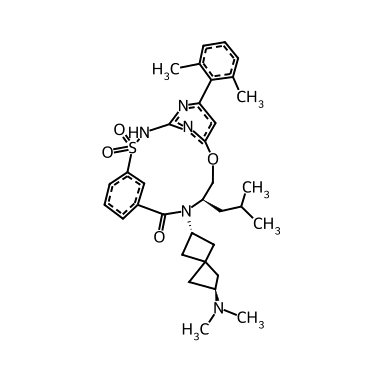 Cc1cccc(C)c1-c1cc2nc(n1)NS(=O)(=O)c1cccc(c1)C(=O)N([C@H]1CC3(C[C@H](N(C)C)C3)C1)[C@H](CC(C)C)CO2